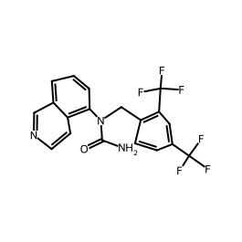 NC(=O)N(Cc1ccc(C(F)(F)F)cc1C(F)(F)F)c1cccc2cnccc12